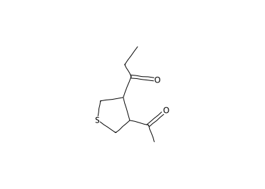 CCC(=O)C1CSCC1C(C)=O